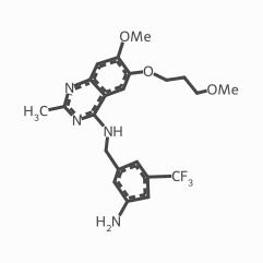 COCCCOc1cc2c(NCc3cc(N)cc(C(F)(F)F)c3)nc(C)nc2cc1OC